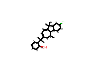 CC1CC(C(C)(C)c2ccccc2O)=CC=C2C1C1C=CC(Cl)CC1C2(C)C